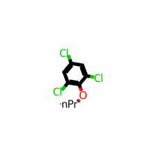 CC[CH]Oc1c(Cl)cc(Cl)cc1Cl